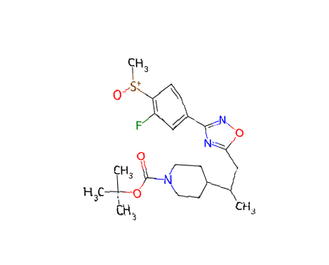 CC(Cc1nc(-c2ccc([S+](C)[O-])c(F)c2)no1)C1CCN(C(=O)OC(C)(C)C)CC1